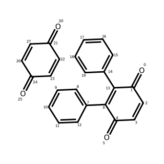 O=C1C=CC(=O)C(c2ccccc2)=C1c1ccccc1.O=C1C=CC(=O)C=C1